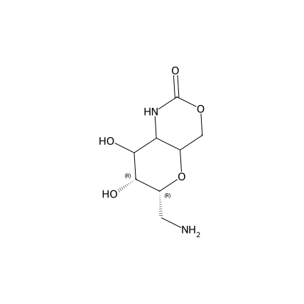 NC[C@H]1OC2COC(=O)NC2C(O)[C@H]1O